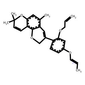 C=CCOc1cc(O/C=C/C)ccc1C1=Cc2c(C)cc3c(c2OC1)C=CC(C)(C)O3